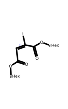 CCCCCCOC(=O)/C=C(/I)C(=O)OCCCCCC